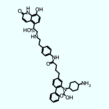 NC1CCC(N(C(=O)O)c2cc(CCCC(=O)Nc3ccc(CCNC[C@@H](O)c4ccc(O)c5[nH]c(=O)ccc45)cc3)ccc2-c2ccccc2)CC1